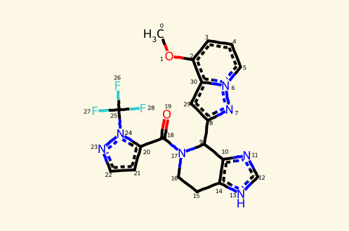 COc1cccn2nc(C3c4nc[nH]c4CCN3C(=O)c3ccnn3C(F)(F)F)cc12